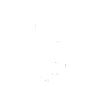 NCC1(c2cccc(-c3nc(NC4CCCCC4)nc4[nH]ccc34)c2)Cc2ccccc2C1